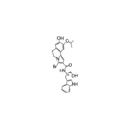 CC(C)Oc1cc2c(cc1O)CCn1c-2cc(C(=O)N[C@@H](CO)Cc2c[nH]c3ccccc23)c1Br